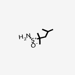 CC(C)CC(C)(C)[S+](N)[O-]